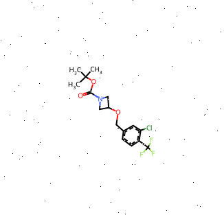 CC(C)(C)OC(=O)N1CC(OCc2ccc(C(F)(F)F)c(Cl)c2)C1